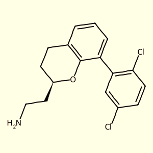 NCC[C@H]1CCc2cccc(-c3cc(Cl)ccc3Cl)c2O1